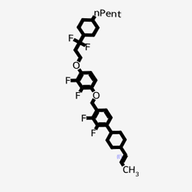 C/C=C/C1CCC(c2ccc(COc3ccc(OCCC(F)(F)C4CCC(CCCCC)CC4)c(F)c3F)c(F)c2F)CC1